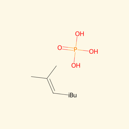 CCC(C)C=C(C)C.O=P(O)(O)O